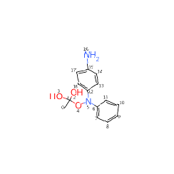 CC(O)(O)ON(c1ccccc1)c1ccc(N)cc1